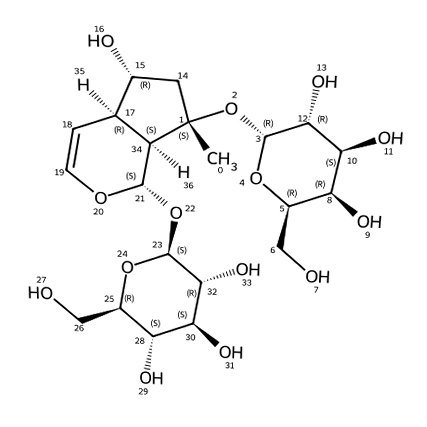 C[C@]1(O[C@H]2O[C@H](CO)[C@H](O)[C@H](O)[C@H]2O)C[C@@H](O)[C@@H]2C=CO[C@@H](O[C@@H]3O[C@H](CO)[C@@H](O)[C@H](O)[C@H]3O)[C@@H]21